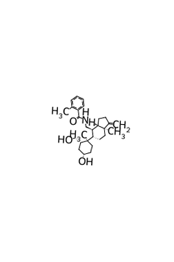 C=C1CC[C@H]2[C@H](CNC(=O)c3ccccc3C)[C@@H]([C@@]3(C)CC[C@H](O)C[C@@H]3CO)CC[C@]12C